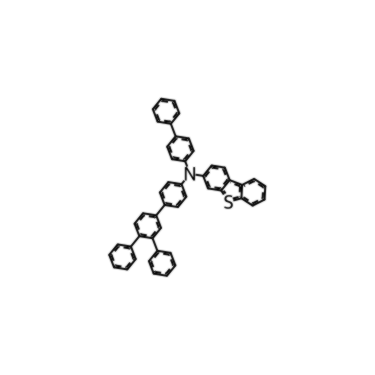 c1ccc(-c2ccc(N(c3ccc(-c4ccc(-c5ccccc5)c(-c5ccccc5)c4)cc3)c3ccc4c(c3)sc3ccccc34)cc2)cc1